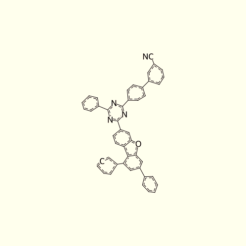 N#Cc1cccc(-c2ccc(-c3nc(-c4ccccc4)nc(-c4ccc5c(c4)oc4cc(-c6ccccc6)cc(-c6ccccc6)c45)n3)cc2)c1